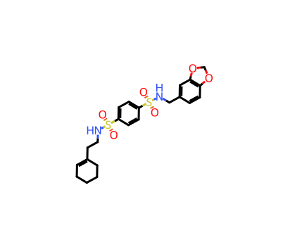 O=S(=O)(NCCC1=CCCCC1)c1ccc(S(=O)(=O)NCc2ccc3c(c2)OCO3)cc1